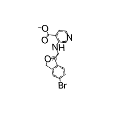 COC(=O)c1ccncc1NC[C@@H]1OCc2cc(Br)ccc21